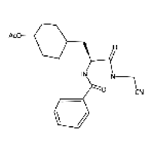 CC(=O)OC1CCC(C[C@H](NC(=O)c2ccccc2)C(=O)NCC#N)CC1